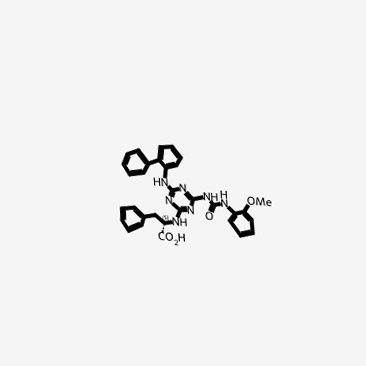 COc1ccccc1NC(=O)Nc1nc(Nc2ccccc2-c2ccccc2)nc(N[C@@H](Cc2ccccc2)C(=O)O)n1